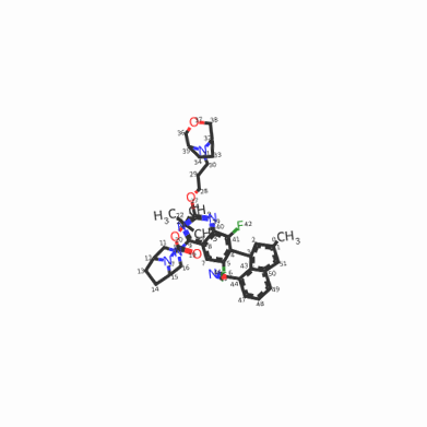 Cc1cc(-c2c(F)cc3c(N4CC5CCC(C4)N5C(=O)OC(C)(C)C)nc(OCCCN4C5CCC4COC5)nc3c2F)c2c(C#N)cccc2c1